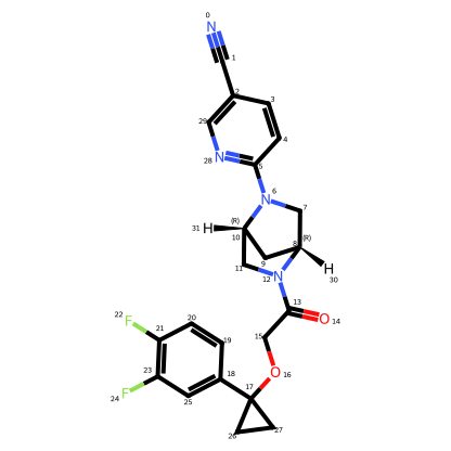 N#Cc1ccc(N2C[C@H]3C[C@@H]2CN3C(=O)COC2(c3ccc(F)c(F)c3)CC2)nc1